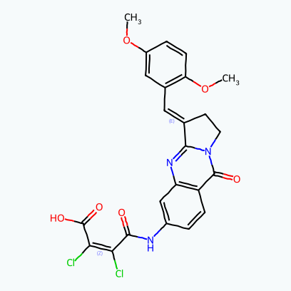 COc1ccc(OC)c(/C=C2\CCn3c2nc2cc(NC(=O)/C(Cl)=C(/Cl)C(=O)O)ccc2c3=O)c1